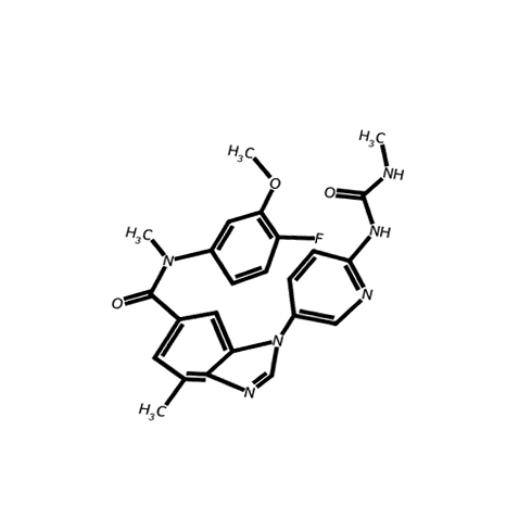 CNC(=O)Nc1ccc(-n2cnc3c(C)cc(C(=O)N(C)c4ccc(F)c(OC)c4)cc32)cn1